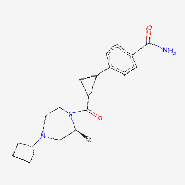 CC[C@H]1CN(C2CCC2)CCN1C(=O)C1CC1c1ccc(C(N)=O)cc1